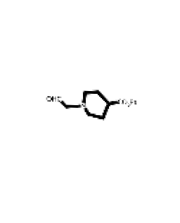 CCOC(=O)C1CCN(CC=O)CC1